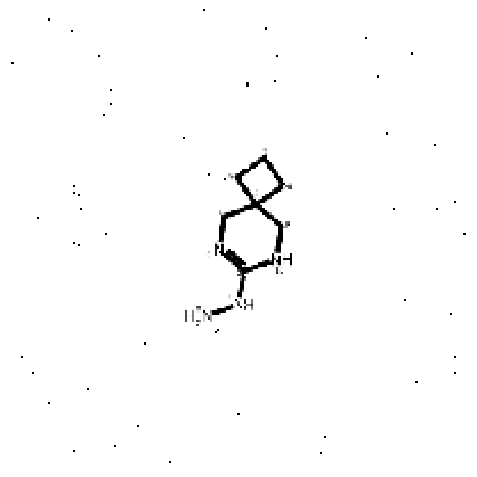 NNC1=NCC2(CCC2)CN1